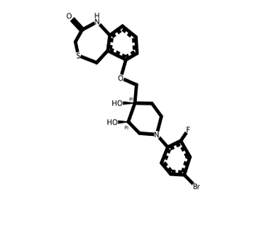 O=C1CSCc2c(cccc2OC[C@]2(O)CCN(c3ccc(Br)cc3F)C[C@H]2O)N1